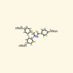 CCCCCCCCCc1ccc(-c2nc(-c3ccc(CCCCCCCCC)cc3)c(-c3ccc(CCCCCCCCC)cc3)s2)cc1